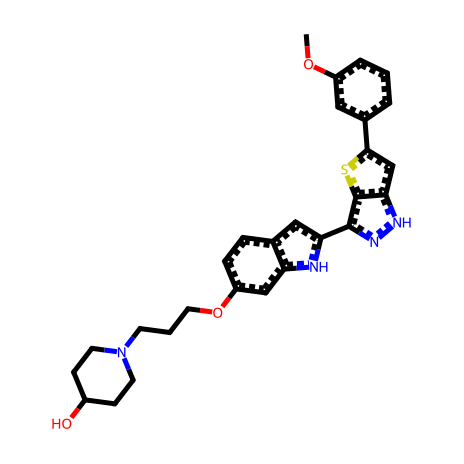 COc1cccc(-c2cc3[nH]nc(-c4cc5ccc(OCCCN6CCC(O)CC6)cc5[nH]4)c3s2)c1